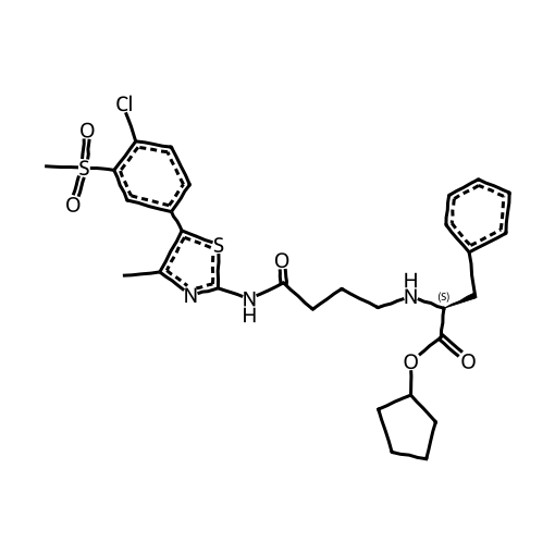 Cc1nc(NC(=O)CCCN[C@@H](Cc2ccccc2)C(=O)OC2CCCC2)sc1-c1ccc(Cl)c(S(C)(=O)=O)c1